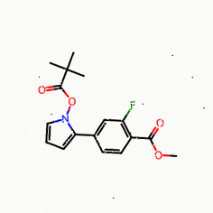 COC(=O)c1ccc(-c2cccn2OC(=O)C(C)(C)C)cc1F